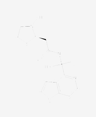 CN1CCC[C@@H]1CC(=O)NC(C)(C)c1nccc2occc12